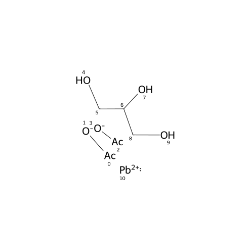 CC(=O)[O-].CC(=O)[O-].OCC(O)CO.[Pb+2]